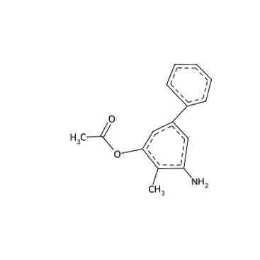 CC(=O)Oc1cc(-c2ccccc2)cc(N)c1C